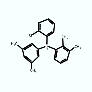 Cc1cc(C)cc([SiH](c2ccccc2Cl)c2cccc(C)c2C)c1